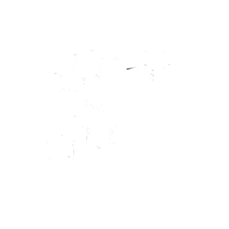 C[C@@H]1COCCN1c1nccc2oc(-c3cnc4ccc(OC[C@H]5CCC(=O)N5)nn34)cc12